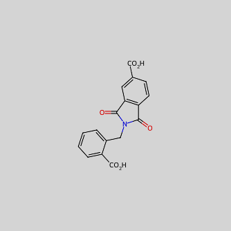 O=C(O)c1ccc2c(c1)C(=O)N(Cc1ccccc1C(=O)O)C2=O